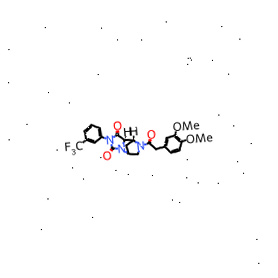 COc1ccc(CC(=O)N2CC3C[C@@H]2[C@@H]2C(=O)N(c4cccc(C(F)(F)F)c4)C(=O)N32)cc1OC